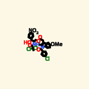 COc1ccc2c(c1)c(CC(=O)OCC(NC(=O)C(C)(Cl)Cl)C(O)c1ccc([N+](=O)[O-])cc1)c(C)n2C(=O)c1ccc(Cl)cc1